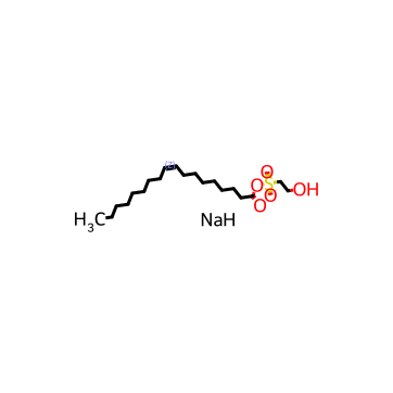 CCCCCCCC/C=C\CCCCCCCC(=O)OS(=O)(=O)CCO.[NaH]